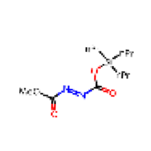 CCC[Si](CCC)(CCC)OC(=O)/N=N/C(=O)OC